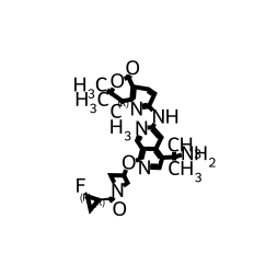 C[C@@H]1c2nc(Nc3cc4c(C(C)(C)N)cnc(OC5CN(C(=O)[C@H]6C[C@H]6F)C5)c4cn3)ccc2C(=O)OC1(C)C